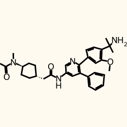 COc1cc(-c2ncc(NC(=O)C[C@H]3CC[C@H](N(C)C(C)=O)CC3)cc2-c2ccccc2)ccc1C(C)(C)N